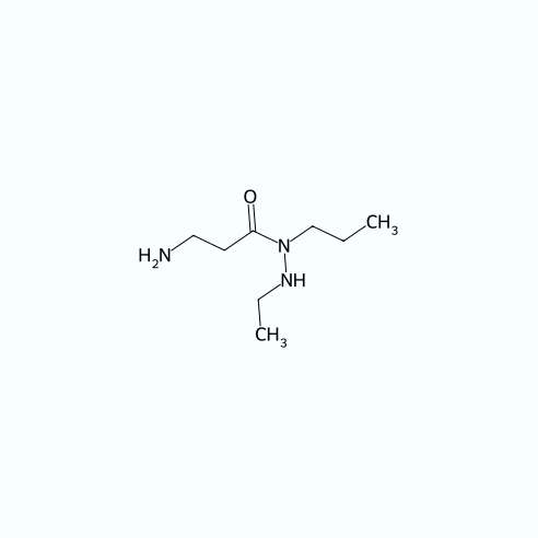 CCCN(NCC)C(=O)CCN